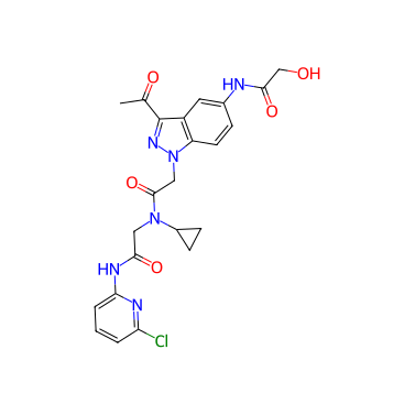 CC(=O)c1nn(CC(=O)N(CC(=O)Nc2cccc(Cl)n2)C2CC2)c2ccc(NC(=O)CO)cc12